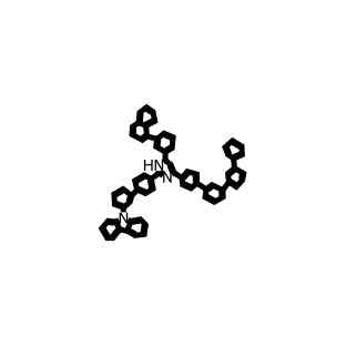 C1=C(c2ccc(-c3cccc(-c4cccc(-c5ccccc5)c4)c3)cc2)N=C(c2ccc(-c3cccc(-n4c5ccccc5c5ccccc54)c3)cc2)NC1c1cccc(-c2cccc3ccccc23)c1